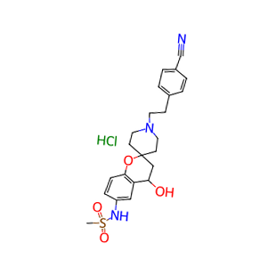 CS(=O)(=O)Nc1ccc2c(c1)C(O)CC1(CCN(CCc3ccc(C#N)cc3)CC1)O2.Cl